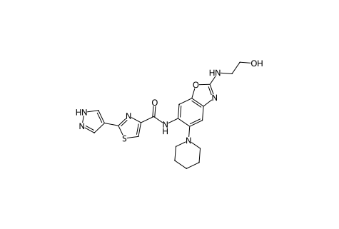 O=C(Nc1cc2oc(NCCO)nc2cc1N1CCCCC1)c1csc(-c2cn[nH]c2)n1